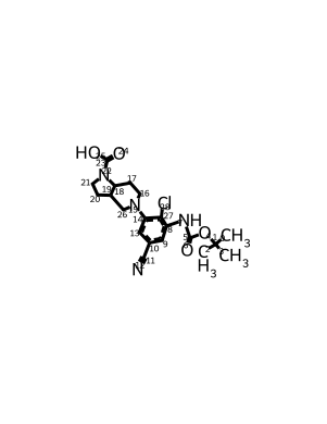 CC(C)(C)OC(=O)Nc1cc(C#N)cc(N2CCC3C(CCN3C(=O)O)C2)c1Cl